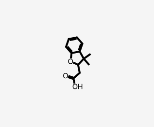 CC1(C)c2ccccc2OC1CC(=O)O